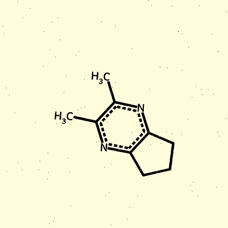 Cc1nc2c(nc1C)CCC2